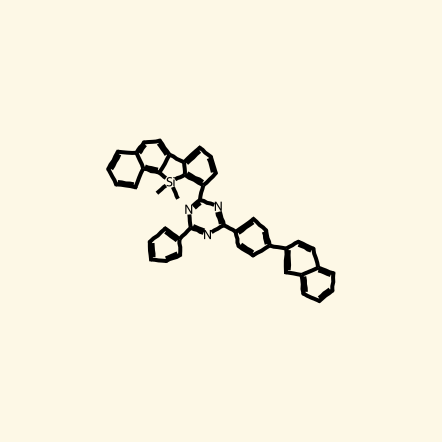 C[Si]1(C)c2c(-c3nc(-c4ccccc4)nc(-c4ccc(-c5ccc6ccccc6c5)cc4)n3)cccc2-c2ccc3ccccc3c21